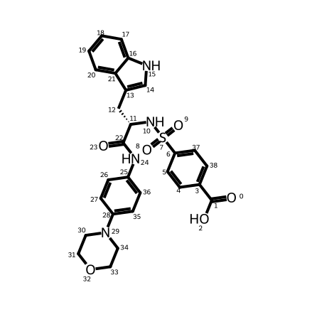 O=C(O)c1ccc(S(=O)(=O)N[C@@H](Cc2c[nH]c3ccccc23)C(=O)Nc2ccc(N3CCOCC3)cc2)cc1